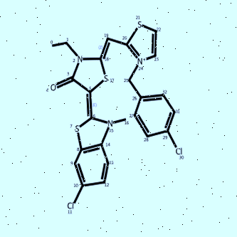 CCn1c(=O)/c(=C2\Sc3cc(Cl)ccc3N2C)s/c1=C\c1scc[n+]1Cc1ccc(Cl)cc1